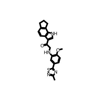 COc1ccc(-c2nc(C)ns2)cc1NCC(=O)c1c[nH]c2c3c(ccc12)CCC3